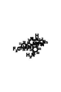 Cn1cc(NC2=NC=C(c3ccc(C(F)(F)F)cc3)C(N)(c3cc(N)ccc3F)N2)cn1